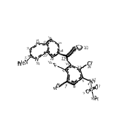 CCCS(=O)(=O)Nc1cc(F)c(F)c(C(=O)c2ccc3ncc(NC)nc3c2)c1Cl